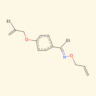 C=CCO/N=C(\CC)c1ccc(OCC(=C)CC)cc1